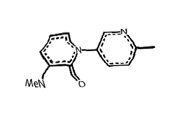 CNc1cccn(-c2ccc(C)nc2)c1=O